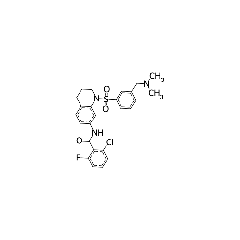 CN(C)Cc1cccc(S(=O)(=O)N2CCCc3ccc(NC(=O)c4c(F)cccc4Cl)cc32)c1